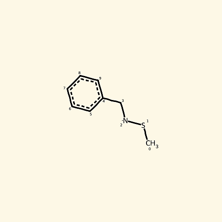 CS[N]Cc1ccccc1